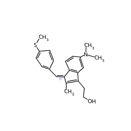 CSc1ccc(/C=C2/C(C)=C(CCO)c3cc(N(C)C)ccc32)cc1